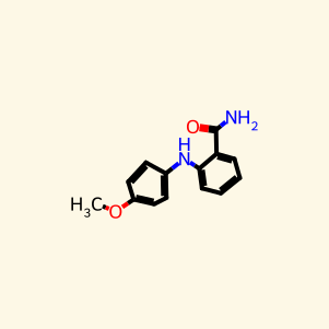 COc1ccc(Nc2ccccc2C(N)=O)cc1